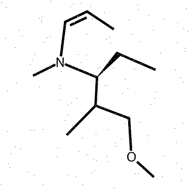 C/C=C\N(C)[C@@H](CC)C(C)COC